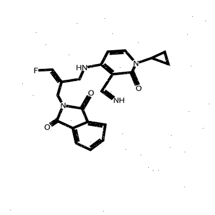 N=Cc1c(NC/C(=C/F)CN2C(=O)c3ccccc3C2=O)ccn(C2CC2)c1=O